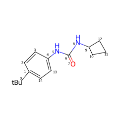 CC(C)(C)c1ccc(NC(=O)NC2CCC2)cc1